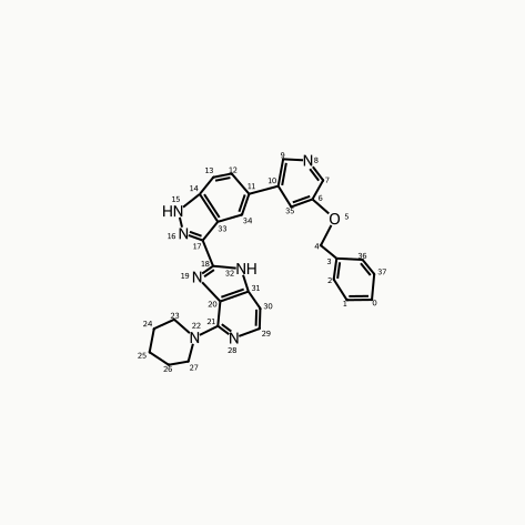 c1ccc(COc2cncc(-c3ccc4[nH]nc(-c5nc6c(N7CCCCC7)nccc6[nH]5)c4c3)c2)cc1